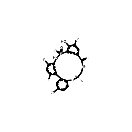 C[C@H]1CNC(=O)c2cc(Br)c(O)c(c2)S(=O)(=O)Nc2cc(c(F)cc2F)-c2cc(Cl)ccc2O1